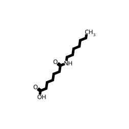 CCCCCCCNC(=O)CCCCCC(=O)O